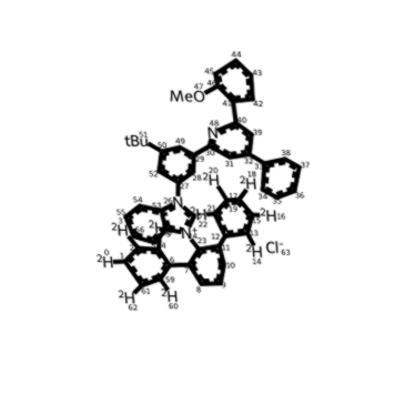 [2H]c1c([2H])c([2H])c(-c2cccc(-c3c([2H])c([2H])c([2H])c([2H])c3[2H])c2-[n+]2cn(-c3cc(-c4cc(-c5ccccc5)cc(-c5ccccc5OC)n4)cc(C(C)(C)C)c3)c3ccccc32)c([2H])c1[2H].[Cl-]